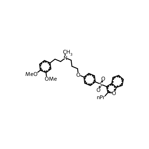 CCCc1oc2ccccc2c1S(=O)(=O)c1ccc(OCCCN(C)CCc2ccc(OC)c(OC)c2)cc1